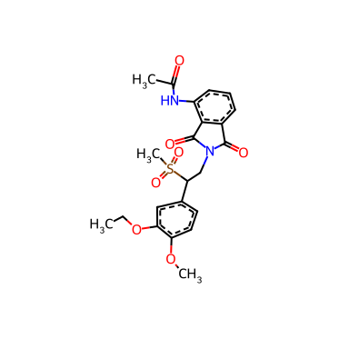 CCOc1cc(C(CN2C(=O)c3cccc(NC(C)=O)c3C2=O)S(C)(=O)=O)ccc1OC